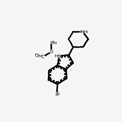 Brc1ccc2[nH]c(C3CCNCC3)cc2c1.CC(C)(C)OC=O